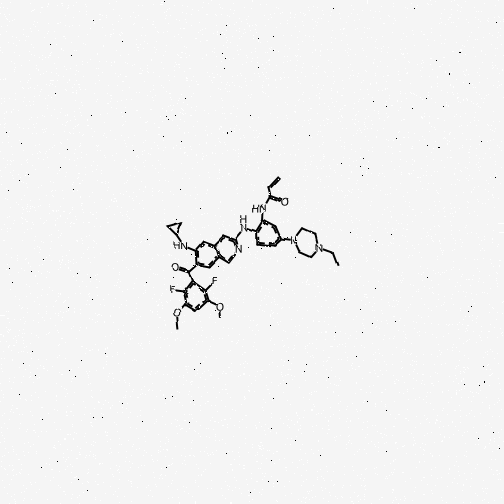 C=CC(=O)Nc1cc(N2CCN(CC)CC2)ccc1Nc1cc2cc(NC3CC3)c(C(=O)c3c(F)c(OC)cc(OC)c3F)cc2cn1